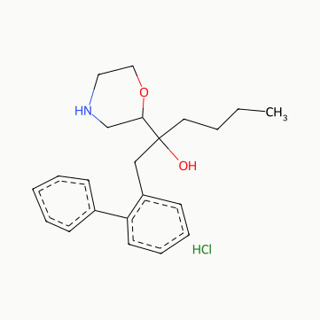 CCCCC(O)(Cc1ccccc1-c1ccccc1)C1CNCCO1.Cl